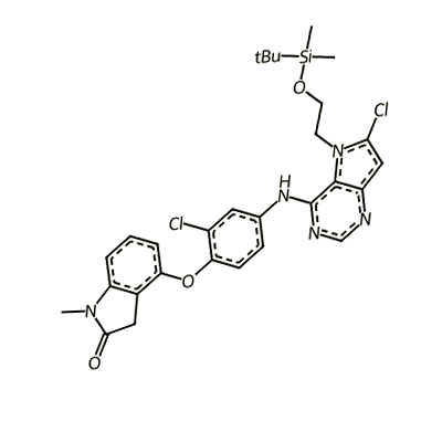 CN1C(=O)Cc2c(Oc3ccc(Nc4ncnc5cc(Cl)n(CCO[Si](C)(C)C(C)(C)C)c45)cc3Cl)cccc21